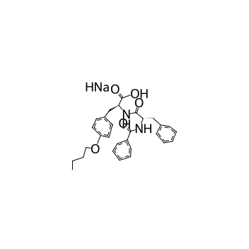 CCCCOc1ccc(C[C@H](NC(=O)[C@H](Cc2ccccc2)NC(=O)c2ccccc2)C(=O)O)cc1.[NaH]